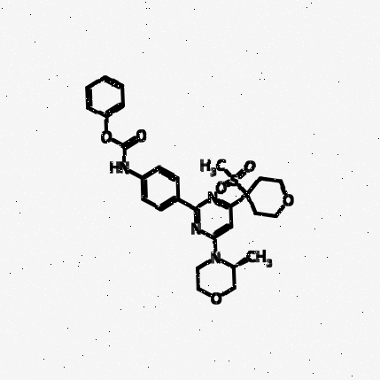 C[C@H]1COCCN1c1cc(C2(S(C)(=O)=O)CCOCC2)nc(-c2ccc(NC(=O)Oc3ccccc3)cc2)n1